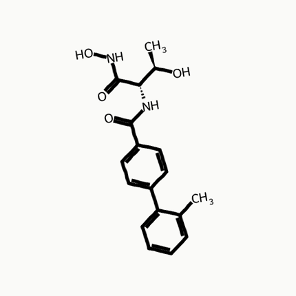 Cc1ccccc1-c1ccc(C(=O)N[C@H](C(=O)NO)[C@@H](C)O)cc1